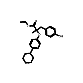 CCOC(=O)C(C)(Cc1ccc(O)cc1)Oc1ccc(C2CCCCC2)cc1